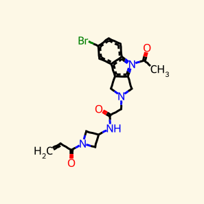 C=CC(=O)N1CC(NC(=O)CN2Cc3c(n(C(C)=O)c4ccc(Br)cc34)C2)C1